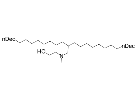 CCCCCCCCCCCCCCCCCCC(CCCCCCCCCCCCCCCCCC)CN(C)CCO